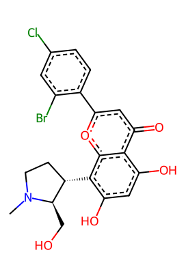 CN1CC[C@H](c2c(O)cc(O)c3c(=O)cc(-c4ccc(Cl)cc4Br)oc23)[C@H]1CO